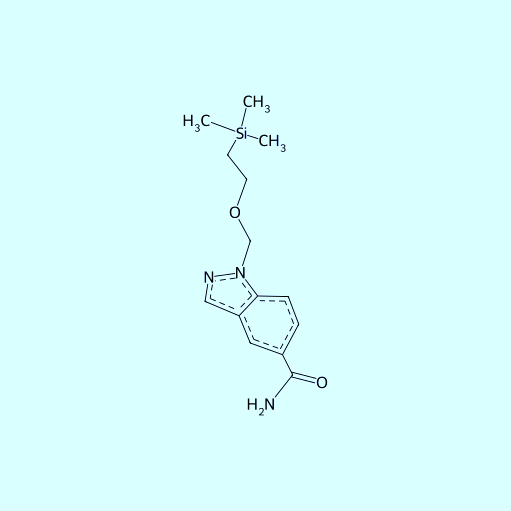 C[Si](C)(C)CCOCn1ncc2cc(C(N)=O)ccc21